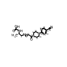 C[C@@H](CNOCC(=O)N1CCN(c2ncc(C#N)cn2)CC1)NC(=O)O